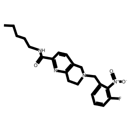 CCCCCNC(=O)c1ccc2c(n1)CCN(Cc1cccc(F)c1[N+](=O)[O-])C2